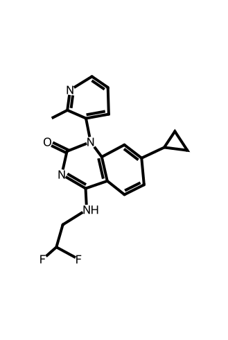 Cc1ncccc1-n1c(=O)nc(NCC(F)F)c2ccc(C3CC3)cc21